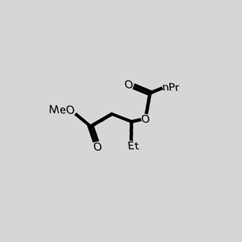 CCCC(=O)OC(CC)CC(=O)OC